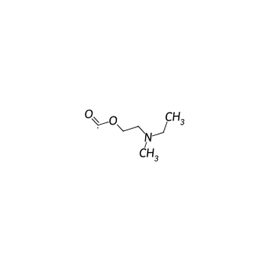 CCN(C)CCO[C]=O